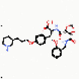 COc1ccccc1CNC(=O)[C@@H]1OCO[C@H]1C(=O)N[C@@H](Cc1ccc(OCCCC2CCCNC2)cc1)C(=O)O